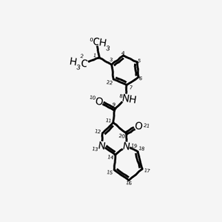 CC(C)c1cccc(NC(=O)c2cnc3ccccn3c2=O)c1